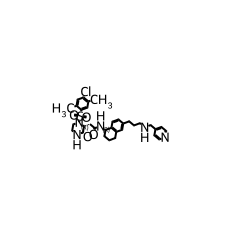 Cc1cc(S(=O)(=O)N2CCNC(=O)[C@H]2CC(=O)N[C@@H]2CCCc3cc(CCCNCc4ccncc4)ccc32)c(C)cc1Cl